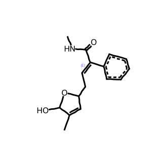 CNC(=O)/C(=C/CC1C=C(C)C(O)O1)c1ccccc1